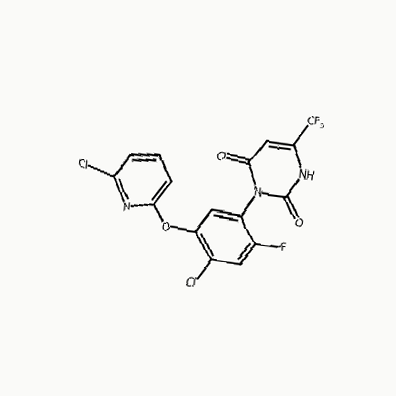 O=c1cc(C(F)(F)F)[nH]c(=O)n1-c1cc(Oc2cccc(Cl)n2)c(Cl)cc1F